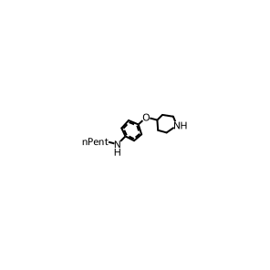 CCCCCNc1ccc(OC2CCNCC2)cc1